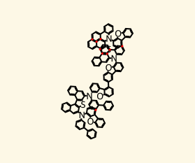 c1ccc(-c2cccc(N(c3cccc4c3oc3ccccc34)c3cc4ccccc4c4c3sc3c(N(c5cccc(-c6ccccc6)c5)c5cccc6c5oc5cccc(-c7ccc8oc9c(N(c%10ccccc%10-c%10ccccc%10)c%10cc%11ccccc%11c%11c%10sc%10c(N(c%12ccccc%12-c%12ccccc%12)c%12cccc%13c%12oc%12ccccc%12%13)cc%12ccccc%12c%10%11)cccc9c8c7)c56)cc5ccccc5c34)c2)cc1